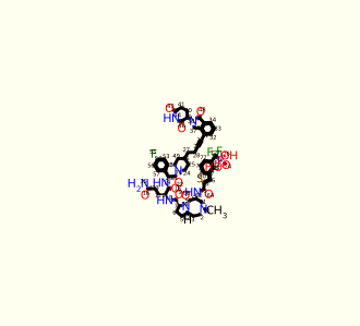 CN1CC[C@H]2CC[C@@H](C(=O)N[C@@H](CCC(N)=O)C(=O)N[C@H](C(=O)N3CCC(CCC#Cc4cccc5c4CN(C4CCC(=O)NC4=O)C5=O)CC3)c3ccc(F)cc3)N2C(=O)[C@@H](NC(=O)c2cc3cc(C(F)(F)P(=O)(O)O)ccc3s2)C1